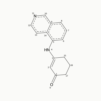 O=C1C=C(Nc2cccc3cnccc23)CCC1